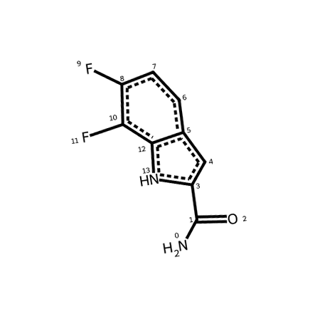 NC(=O)c1cc2ccc(F)c(F)c2[nH]1